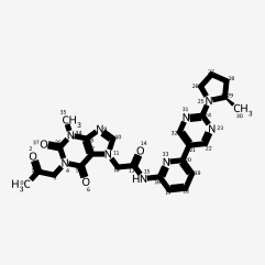 CC(=O)Cn1c(=O)c2c(ncn2CC(=O)Nc2cccc(-c3cnc(N4CCC[C@H]4C)nc3)n2)n(C)c1=O